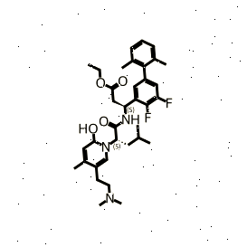 CCOC(=O)C[C@H](NC(=O)[C@H](CC(C)C)N1C=C(CCN(C)C)C(C)=CC1O)c1cc(-c2c(C)cccc2C)cc(F)c1F